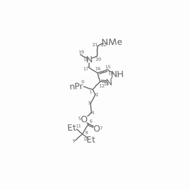 CCCC(CCCOC(=O)C(C)(CC)CC)c1n[nH]cc1CN(C)CCNC